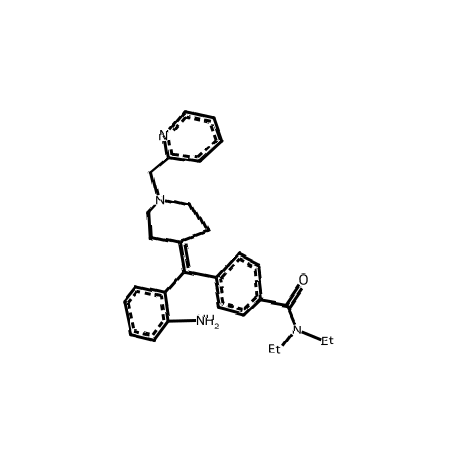 CCN(CC)C(=O)c1ccc(C(=C2CCN(Cc3ccccn3)CC2)c2ccccc2N)cc1